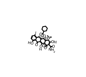 C[C@H]1c2c(I)ccc(O)c2C(=O)C2=C(O)[C@]3(O)C(=O)C(C(N)=O)=C(O)[C@@H](N(C)C)[C@@H]3[C@@H](OC(=O)C3CCCCC3)[C@@H]21